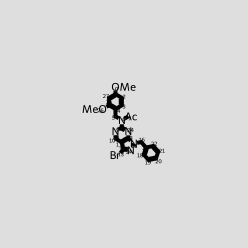 COc1ccc(CN(C(C)=O)c2ncc3c(Br)nn(Cc4ccccc4)c3n2)c(OC)c1